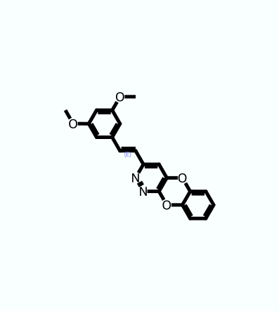 COc1cc(/C=C/c2cc3c(nn2)Oc2ccccc2O3)cc(OC)c1